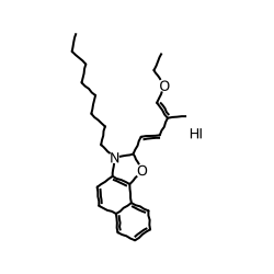 CCCCCCCCN1c2ccc3ccccc3c2OC1C=CC(C)=COCC.I